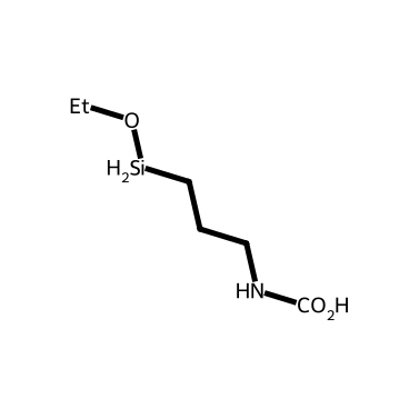 CCO[SiH2]CCCNC(=O)O